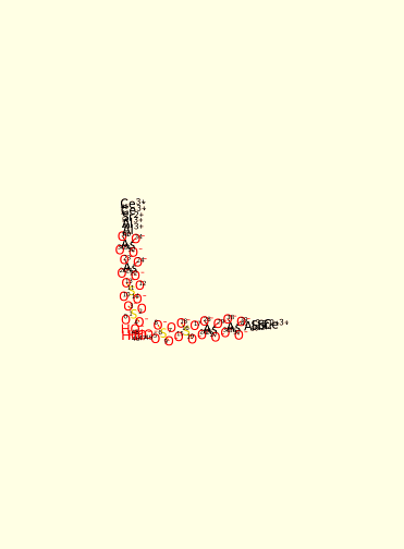 O=S(=O)([O-])[O-].O=S(=O)([O-])[O-].O=S(=O)([O-])[O-].O=S(=O)([O-])[O-].O=[As]([O-])([O-])[O-].O=[As]([O-])([O-])[O-].O=[As]([O-])([O-])[O-].O=[As]([O-])([O-])[O-].[Al+3].[Al+3].[Al+3].[Ce+3].[Ce+3].[Ce+3].[OH-].[OH-].[OH-].[OH-].[Sr+2].[Sr+2].[Sr+2]